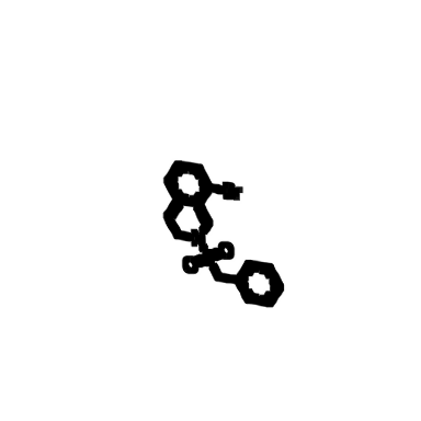 O=S(=O)(Cc1ccccc1)N1C=c2c(Br)cccc2=CC1